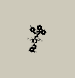 C[C@@H]1CN(c2ccc3c(Cl)cccc3n2)C[C@H](C)N1CCCCC1(C(=O)NCc2ccc(F)cc2)c2ccccc2-c2ccccc21